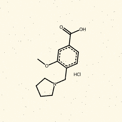 COc1cc(C(=O)O)ccc1CN1CCCC1.Cl